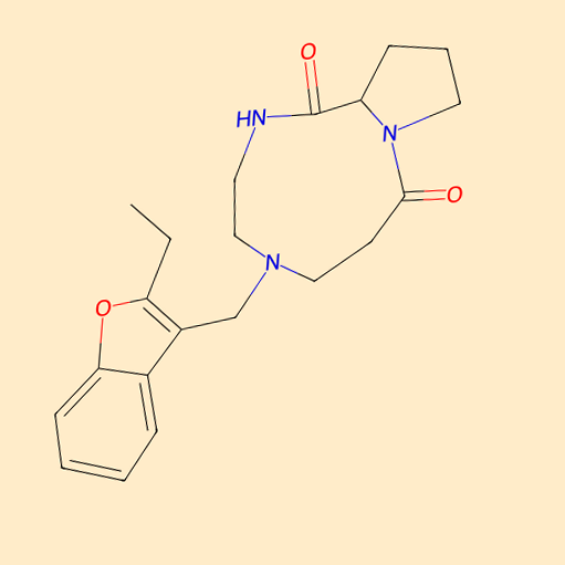 CCc1oc2ccccc2c1CN1CCNC(=O)C2CCCN2C(=O)CC1